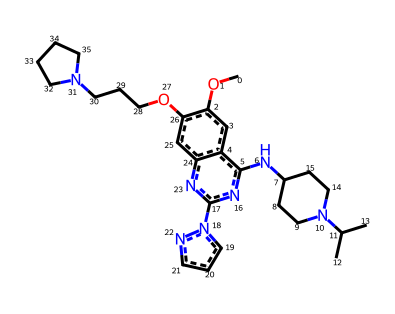 COc1cc2c(NC3CCN(C(C)C)CC3)nc(-n3cccn3)nc2cc1OCCCN1CCCC1